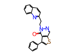 O=c1c2c(-c3ccccc3)csc2cnn1CCc1ccc2ccccc2n1